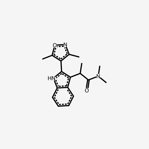 Cc1noc(C)c1-c1[nH]c2ccccc2c1C(C)C(=O)N(C)C